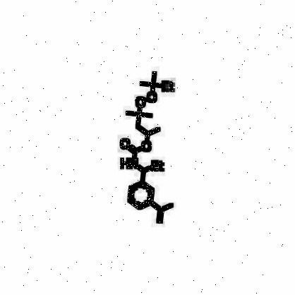 C=C(C)c1cccc(C(CC)NC(=O)OC(C)CC(C)(C)OOC(C)(C)CC)c1